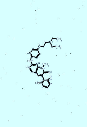 CCN(CC)CCOc1ccc(Nc2ncc3cc(-c4c(Cl)cccc4Cl)c(=O)n(C)c3n2)nc1